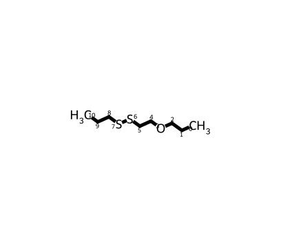 CCCOCCSSCCC